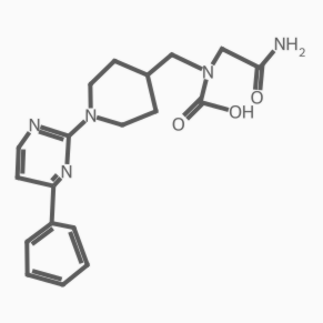 NC(=O)CN(CC1CCN(c2nccc(-c3ccccc3)n2)CC1)C(=O)O